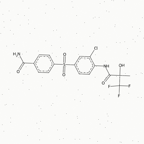 CC(O)(C(=O)Nc1ccc(S(=O)(=O)c2ccc(C(N)=O)cc2)cc1Cl)C(F)(F)F